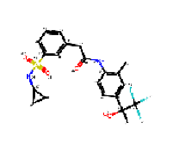 Cc1cc(C(C)(O)C(F)(F)F)ccc1NC(=O)Cc1cccc(S(=O)(=O)NC2CC2)c1